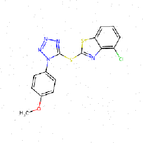 COc1ccc(-n2nnnc2Sc2nc3c(Cl)cccc3s2)cc1